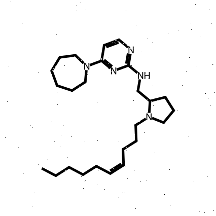 CCCCC/C=C\CCCN1CCCC1CNc1nccc(N2CCCCCC2)n1